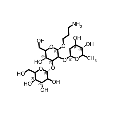 CC1O[C@@H](OC2[C@H](OCCCN)OC(CO)[C@H](O)[C@@H]2O[C@H]2OC(CO)[C@H](O)[C@H](O)C2O)C[C@@H](O)[C@@H]1O